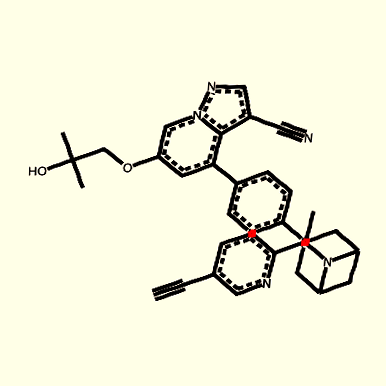 C#Cc1ccc(C(C)N2C3CC2CN(c2ccc(-c4cc(OCC(C)(C)O)cn5ncc(C#N)c45)cn2)C3)nc1